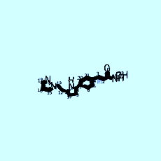 O=C(/C=C/c1ccc(C2CCC(CCn3cccn3)N2)cc1)NO